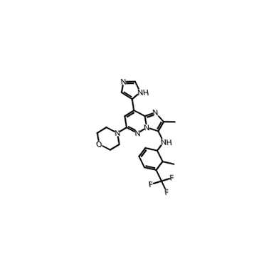 Cc1nc2c(-c3cnc[nH]3)cc(N3CCOCC3)nn2c1NC1C=CC=C(C(F)(F)F)C1C